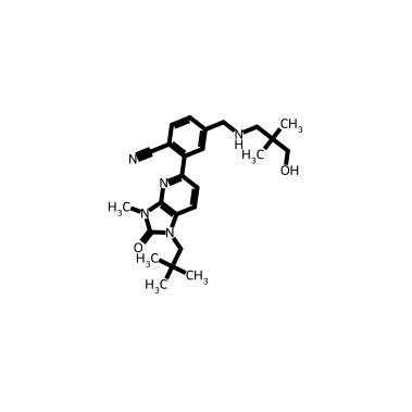 Cn1c(=O)n(CC(C)(C)C)c2ccc(-c3cc(CNCC(C)(C)CO)ccc3C#N)nc21